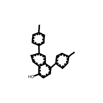 Cc1ccc(-c2ccc3c(O)ccc(-c4ccc(C)cc4)c3c2)cc1